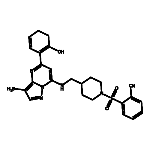 Bc1cnn2c(NCC3CCN(S(=O)(=O)c4ccccc4C#N)CC3)cc(C3=C(O)CCC=C3)nc12